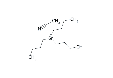 CC#N.CCC[CH2][SnH]([CH2]CCC)[CH2]CCC